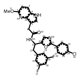 COc1ccc2[nH]cc(CC(=O)NC(Cc3cc(F)cc(F)c3)c3cnc(-c4ccc(Cl)cc4)o3)c2n1